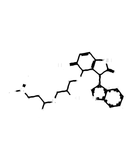 C=C1C=CC2=C(C1OCC(O)CNC(C)CC[N+](=O)[O-])C(c1c[nH]c3ccccc13)C(=O)N2